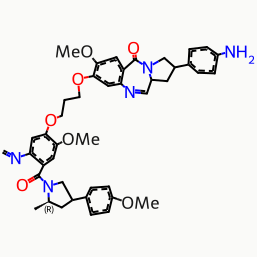 C=Nc1cc(OCCCOc2cc3c(cc2OC)C(=O)N2CC(c4ccc(N)cc4)CC2C=N3)c(OC)cc1C(=O)N1CC(c2ccc(OC)cc2)C[C@H]1C